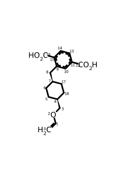 C=COC[C@H]1CC[C@@H](Cc2cc(C(=O)O)ccc2C(=O)O)CC1